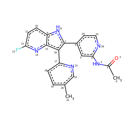 CC(=O)Nc1cc(-c2[nH]c3ccc(F)nc3c2-c2ccc(C)cn2)ccn1